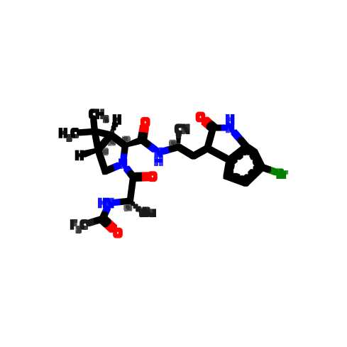 CC(C)(C)[C@H](NC(=O)C(F)(F)F)C(=O)N1C[C@H]2[C@H]([C@H]1C(=O)N[C@H](C#N)CC1C(=O)Nc3cc(Br)ccc31)C2(C)C